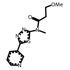 COCCC(=O)N(C)c1nnc(-c2cccnc2)s1